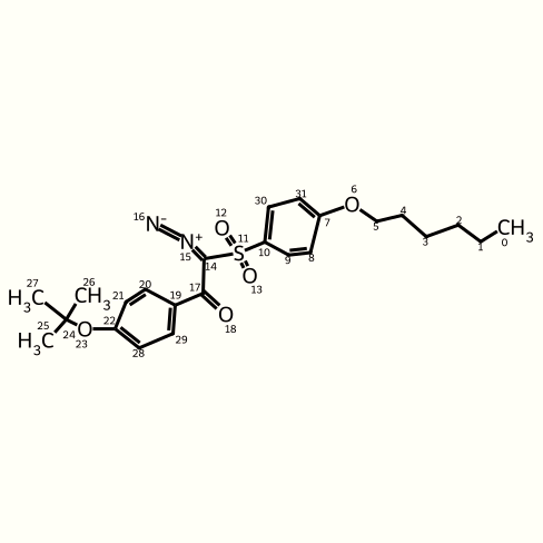 CCCCCCOc1ccc(S(=O)(=O)C(=[N+]=[N-])C(=O)c2ccc(OC(C)(C)C)cc2)cc1